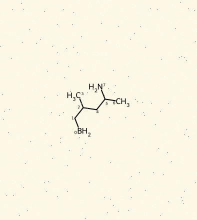 BCC(C)CC(C)N